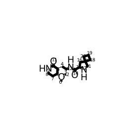 COC[C@H](C[C@@H]1CCCNC1=O)NC(=O)C1CC2(CCC2)CN1